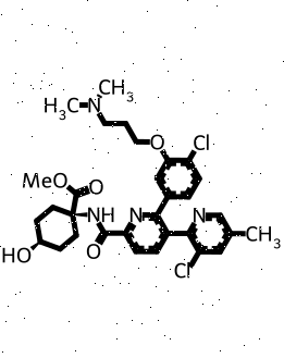 COC(=O)[C@]1(NC(=O)c2ccc(-c3ncc(C)cc3Cl)c(-c3ccc(Cl)c(OCCCN(C)C)c3)n2)CC[C@@H](O)CC1